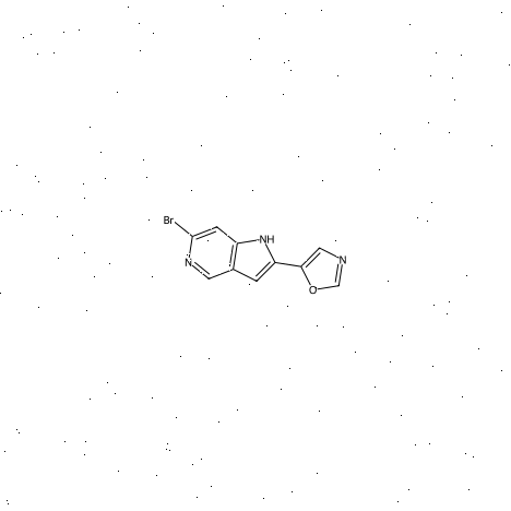 Brc1cc2[nH]c(-c3cnco3)cc2cn1